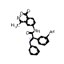 CC(=O)c1cccc(/C(=C\c2ccccc2)C(=O)Nc2ccc3c(=O)onc(C)c3c2)c1